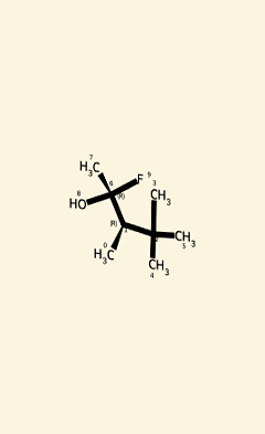 C[C@H](C(C)(C)C)[C@](C)(O)F